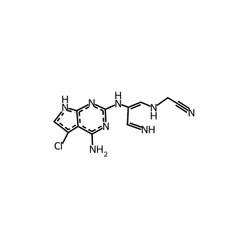 N#CCN/C=C(\C=N)Nc1nc(N)c2c(Cl)c[nH]c2n1